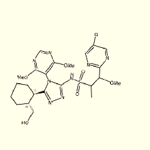 COc1ncnc(OC)c1-n1c(NS(=O)(=O)C(C)C(OC)c2ncc(Cl)cn2)nnc1[C@@H]1CCCC[C@H]1CO